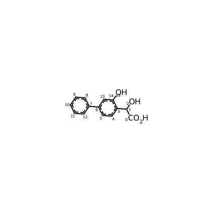 O=C(O)C(O)c1ccc(-c2ccccc2)cc1O